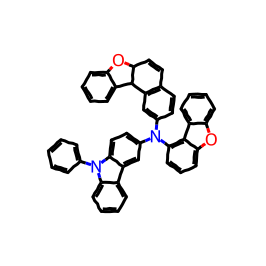 C1=CC2Oc3ccccc3C2c2cc(N(c3ccc4c(c3)c3ccccc3n4-c3ccccc3)c3cccc4oc5ccccc5c34)ccc21